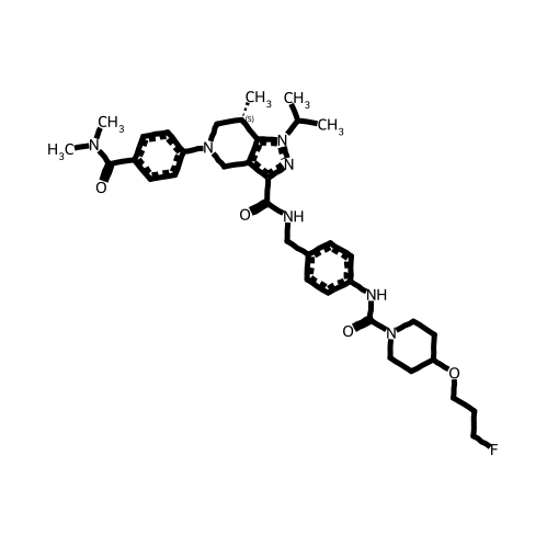 CC(C)n1nc(C(=O)NCc2ccc(NC(=O)N3CCC(OCCCF)CC3)cc2)c2c1[C@@H](C)CN(c1ccc(C(=O)N(C)C)cc1)C2